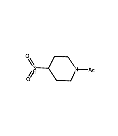 CC(=O)N1CCC([SH](=O)=O)CC1